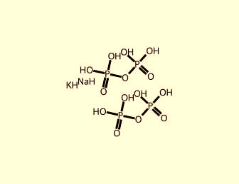 O=P(O)(O)OP(=O)(O)O.O=P(O)(O)OP(=O)(O)O.[KH].[NaH]